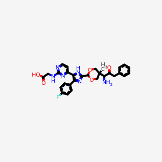 CC1(C(N)C(=O)Cc2ccccc2)COC(c2nc(-c3ccc(F)cc3)c(-c3ccnc(NCC(=O)O)n3)[nH]2)OC1